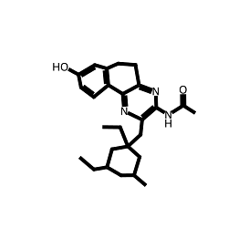 CCC1CC(C)CC(CC)(Cc2nc3c(nc2NC(C)=O)CCc2cc(O)ccc2-3)C1